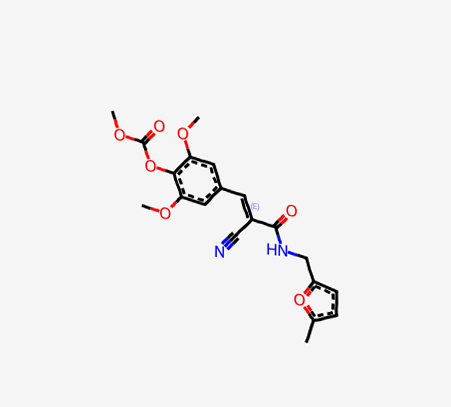 COC(=O)Oc1c(OC)cc(/C=C(\C#N)C(=O)NCc2ccc(C)o2)cc1OC